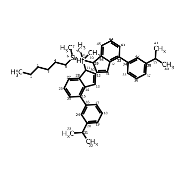 CCCCCC[Si](C)=[Hf]([CH3])([CH3])([CH]1C=Cc2c(-c3cccc(C(C)C)c3)cccc21)[CH]1C=Cc2c(-c3cccc(C(C)C)c3)cccc21